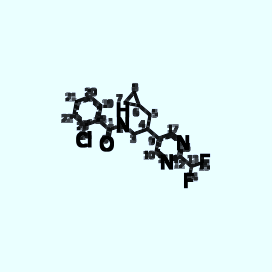 O=C(NCC(CC1CC1)c1cnc(C(F)F)nc1)c1ccccc1Cl